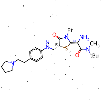 CCN1C(=O)[C@@H](CNc2ccc(CCN3CCCC3)cc2)S/C1=C(/N)C(=O)N(C)C(C)(C)C